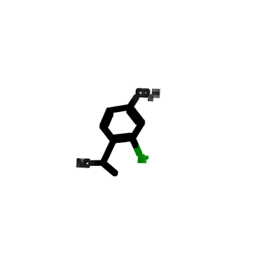 CC(C#N)c1ccc(C(=O)O)cc1Br